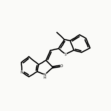 Cc1c(C=C2C(=O)Nc3cnccc32)sc2ccccc12